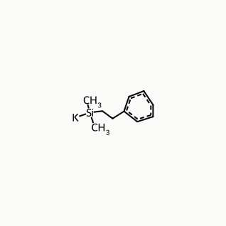 C[Si](C)([K])CCc1ccccc1